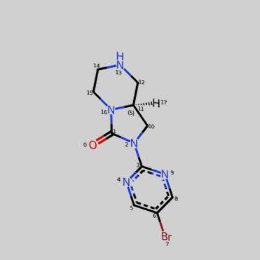 O=C1N(c2ncc(Br)cn2)C[C@@H]2CNCCN12